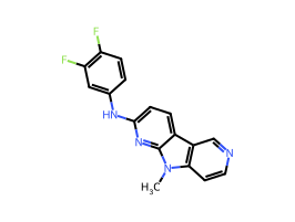 Cn1c2ccncc2c2ccc(Nc3ccc(F)c(F)c3)nc21